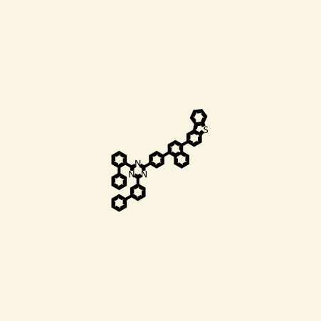 c1ccc(-c2cccc(-c3nc(-c4ccc(-c5ccc(-c6ccc7sc8ccccc8c7c6)c6ccccc56)cc4)nc(-c4ccccc4-c4ccccc4)n3)c2)cc1